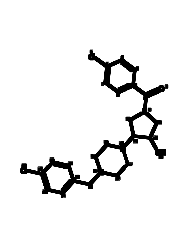 O=C(c1ccc(Cl)cc1)N1CC(O)C(N2CCN(Cc3ccc(Cl)cc3)CC2)C1